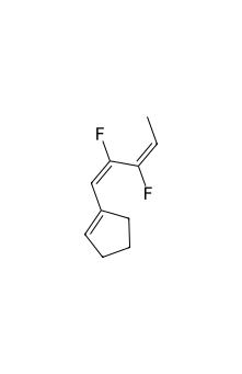 C/C=C(F)\C(F)=C/C1=CCCC1